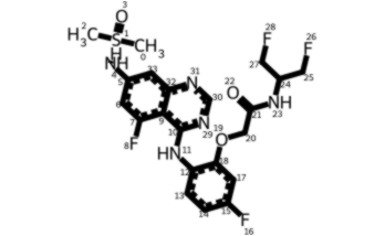 C[SH](C)(=O)Nc1cc(F)c2c(Nc3ccc(F)cc3OCC(=O)NC(CF)CF)ncnc2c1